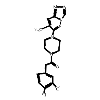 Cc1cc2nncn2nc1N1CCN(C(=O)Cc2ccc(Cl)c(Cl)c2)CC1